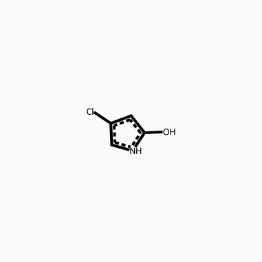 Oc1cc(Cl)c[nH]1